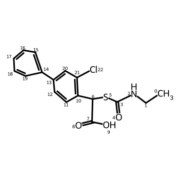 CCNC(=O)SC(C(=O)O)c1ccc(-c2ccccc2)cc1Cl